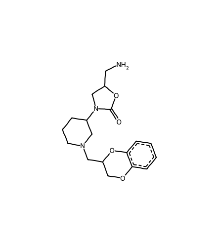 NCC1CN(C2CCCN(CC3COc4ccccc4O3)C2)C(=O)O1